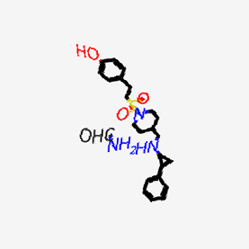 NC=O.O=S(=O)(CCc1ccc(O)cc1)N1CCC(CNC2CC2c2ccccc2)CC1